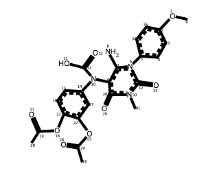 COc1ccc(-n2c(N)c(N(C(=O)O)c3ccc(OC(C)=O)c(OC(C)=O)c3)c(=O)n(C)c2=O)cc1